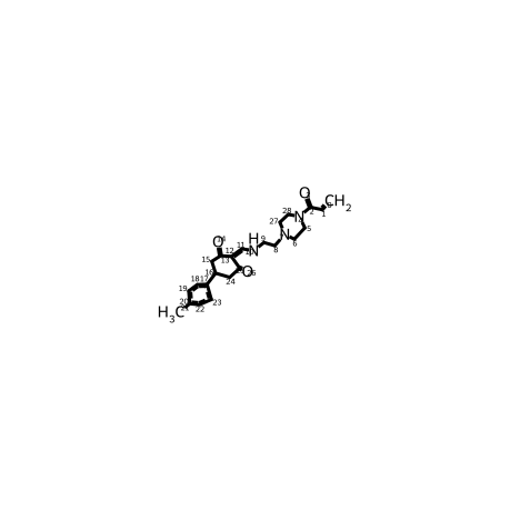 C=CC(=O)N1CCN(CCNC=C2C(=O)CC(c3ccc(C)cc3)CC2=O)CC1